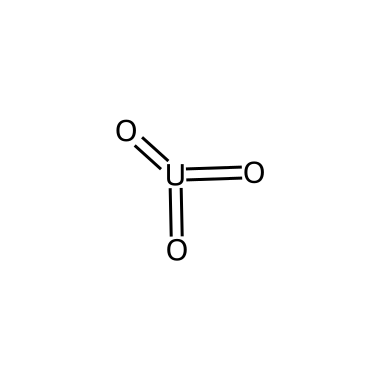 [O]=[U](=[O])=[O]